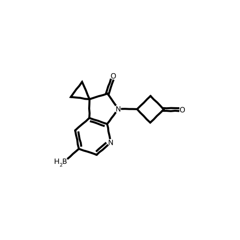 Bc1cnc2c(c1)C1(CC1)C(=O)N2C1CC(=O)C1